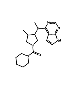 CC1CN(C(=O)N2CCCCC2)CC1N(C)c1ncnc2[nH]ccc12